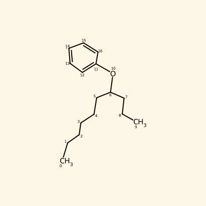 CCCCCCC(CCC)Oc1cc[c]cc1